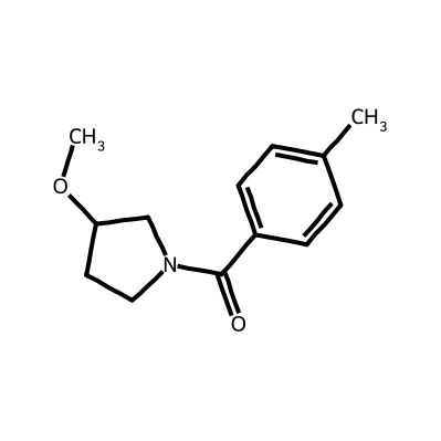 COC1CCN(C(=O)c2ccc(C)cc2)C1